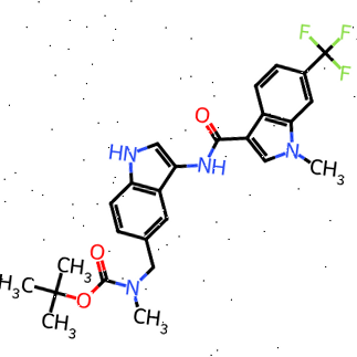 CN(Cc1ccc2[nH]cc(NC(=O)c3cn(C)c4cc(C(F)(F)F)ccc34)c2c1)C(=O)OC(C)(C)C